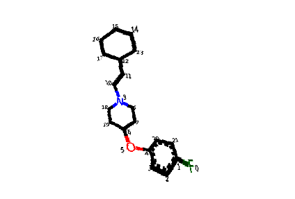 Fc1ccc(OC2CCN(CCC3CC[CH]CC3)CC2)cc1